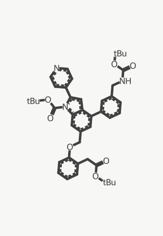 CC(C)(C)OC(=O)Cc1ccccc1OCc1cc(-c2cccc(CNC(=O)OC(C)(C)C)c2)c2cc(-c3ccncc3)n(C(=O)OC(C)(C)C)c2c1